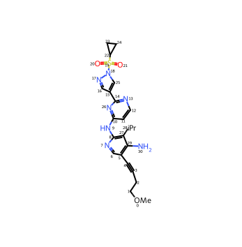 COCCC#Cc1cnc(Nc2ccnc(-c3cnn(S(=O)(=O)C4CC4)c3)n2)c(C(C)C)c1N